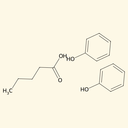 CCCCC(=O)O.Oc1ccccc1.Oc1ccccc1